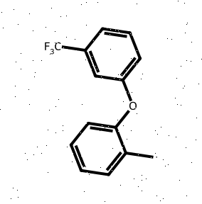 [CH2]c1ccccc1Oc1cccc(C(F)(F)F)c1